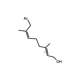 CC(=O)CC(C)=CCC/C(C)=C/CO